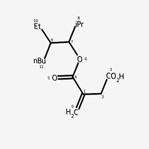 C=C(CC(=O)O)C(=O)OC(C(C)C)C(CC)CCCC